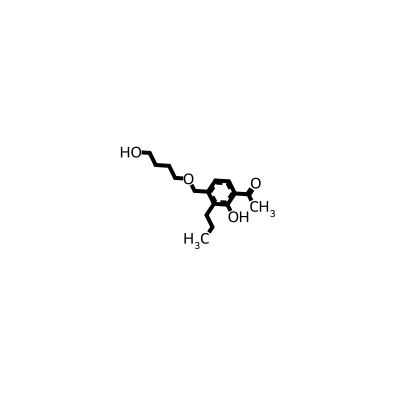 CCCc1c(COCCCCO)ccc(C(C)=O)c1O